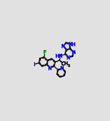 C[C@H](Nc1ncnc2[nH]cnc12)c1cc2c(F)cc(I)cc2nc1-c1ccccn1